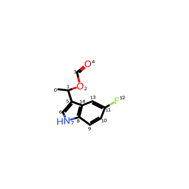 CC(OC=O)c1c[nH]c2ccc(F)cc12